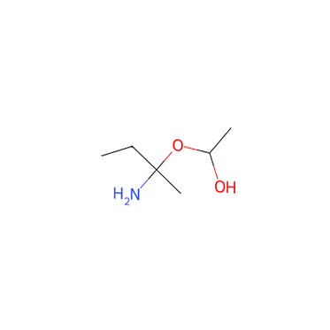 CCC(C)(N)OC(C)O